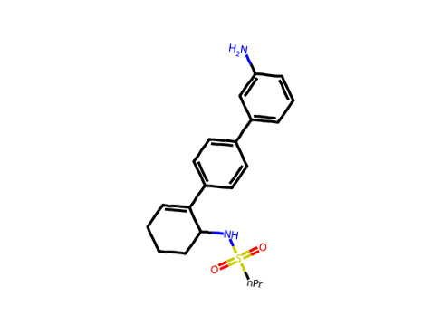 CCCS(=O)(=O)NC1CCCC=C1c1ccc(-c2cccc(N)c2)cc1